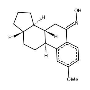 CC[C@@]12CCC[C@H]1[C@@H]1C/C(=N\O)c3c[c]c(OC)cc3[C@H]1CC2